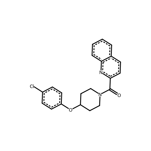 O=C(c1ccc2ccccc2n1)N1CCC(Oc2ccc(Cl)cc2)CC1